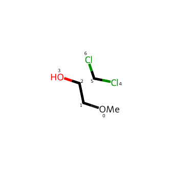 COCCO.ClCCl